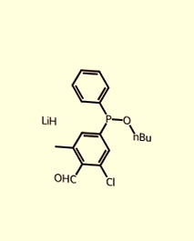 CCCCOP(c1ccccc1)c1cc(C)c(C=O)c(Cl)c1.[LiH]